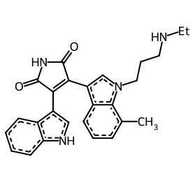 CCNCCCn1cc(C2=C(c3c[nH]c4ccccc34)C(=O)NC2=O)c2cccc(C)c21